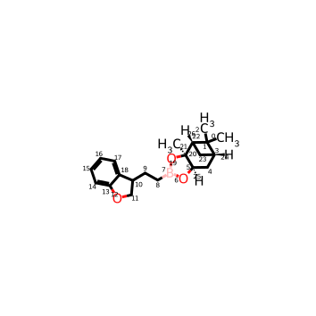 CC1(C)[C@@H]2C[C@H]3OB(CCC4COc5ccccc54)O[C@@]3(C)[C@H]1C2